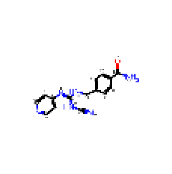 N#CNC(=Nc1ccncc1)NCc1ccc(C(N)=O)cc1